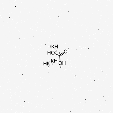 O=C(O)O.[KH].[KH].[KH]